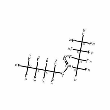 O=[PH](OC(F)(F)C(F)(F)C(F)(F)C(F)(F)F)C(F)(F)C(F)(F)C(F)(F)C(F)(F)F